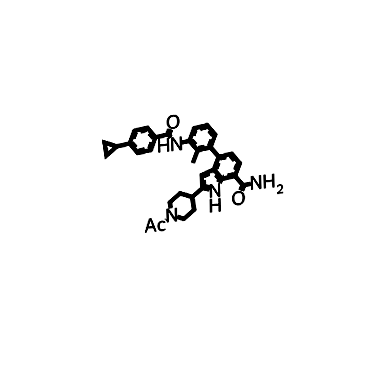 CC(=O)N1CCC(c2cc3c(-c4cccc(NC(=O)c5ccc(C6CC6)cc5)c4C)ccc(C(N)=O)c3[nH]2)CC1